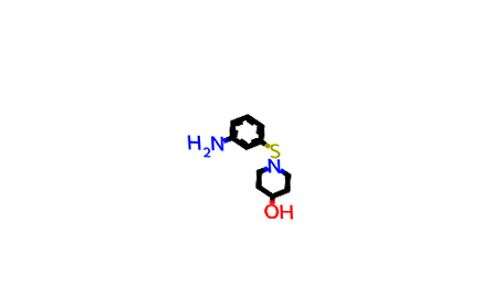 Nc1cccc(SN2CCC(O)CC2)c1